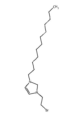 CCCCCCCCCCCCN1C=CN(CCBr)C1